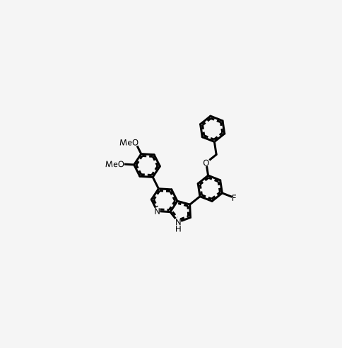 COc1ccc(-c2cnc3[nH]cc(-c4cc(F)cc(OCc5ccccc5)c4)c3c2)cc1OC